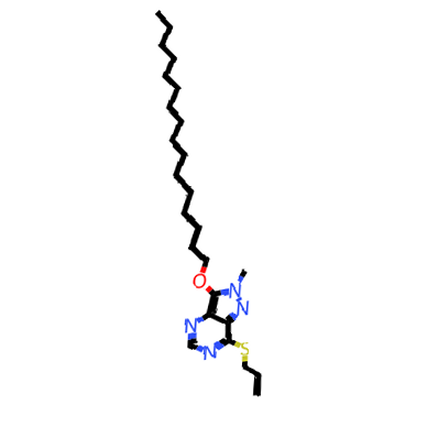 C=CCSc1ncnc2c(OCCCCCCCCCCCCCCCC)n(C)nc12